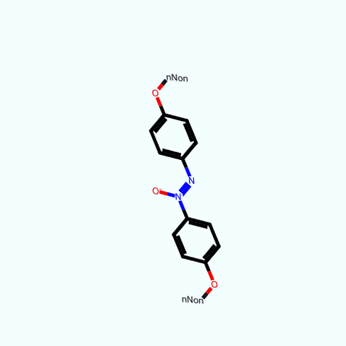 CCCCCCCCCOc1ccc(N=[N+]([O-])c2ccc(OCCCCCCCCC)cc2)cc1